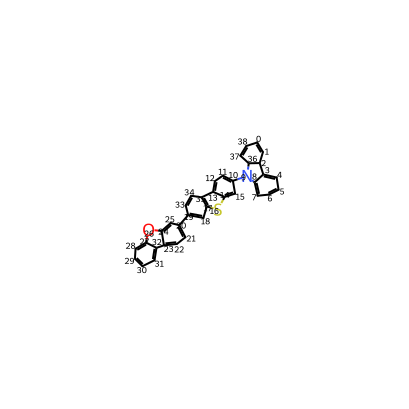 C1=CC2c3ccccc3N(c3ccc4c(c3)sc3cc(-c5ccc6c(c5)oc5ccccc56)ccc34)C2C=C1